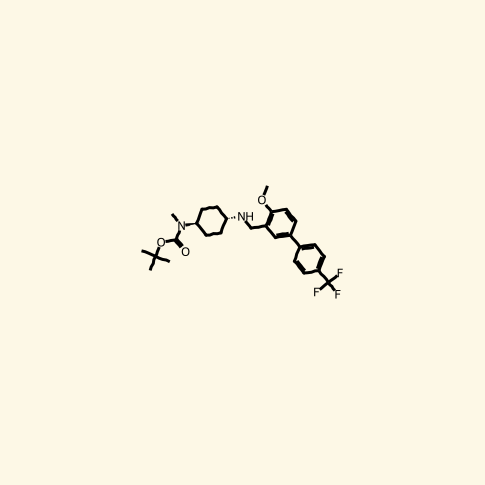 COc1ccc(-c2ccc(C(F)(F)F)cc2)cc1CN[C@H]1CC[C@H](N(C)C(=O)OC(C)(C)C)CC1